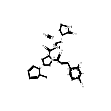 CC1C=CC=CC1[C@@H]1C[C@@H](C(=O)N[C@H](C#N)C[C@@H]2CCNC2=O)N(C(=O)/C=C/c2ccc(Cl)cc2F)C1